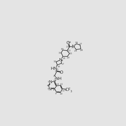 O=C(CNc1ncnc2ccc(C(F)(F)F)cc12)NC1CN(C2CCC(C(=O)N3CCCC3)CC2)C1